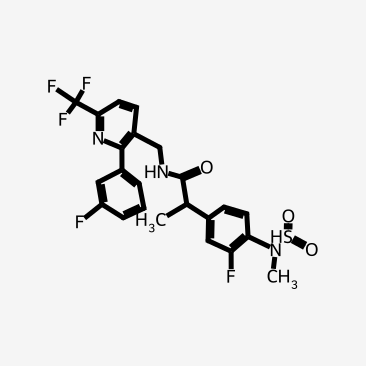 CC(C(=O)NCc1ccc(C(F)(F)F)nc1-c1cccc(F)c1)c1ccc(N(C)[SH](=O)=O)c(F)c1